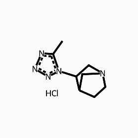 Cc1nnnn1C1CN2CCC1C2.Cl